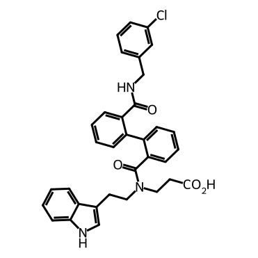 O=C(O)CCN(CCc1c[nH]c2ccccc12)C(=O)c1ccccc1-c1ccccc1C(=O)NCc1cccc(Cl)c1